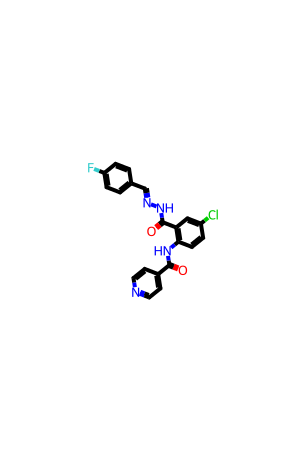 O=C(Nc1ccc(Cl)cc1C(=O)NN=Cc1ccc(F)cc1)c1ccncc1